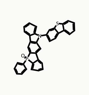 O=P1(c2ccccc2)c2ccccc2-c2cc3c(cc21)c1ccccc1n3-c1ccc2c(c1)sc1ccccc12